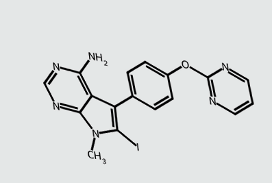 Cn1c(I)c(-c2ccc(Oc3ncccn3)cc2)c2c(N)ncnc21